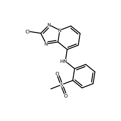 CS(=O)(=O)c1ccccc1Nc1cccn2nc(Cl)nc12